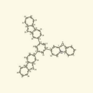 c1ccc2c(c1)oc1cc(-c3nc(-c4ccc5c(c4)sc4ccccc45)nc(-c4ccc5c(c4)sc4ccccc45)n3)ccc12